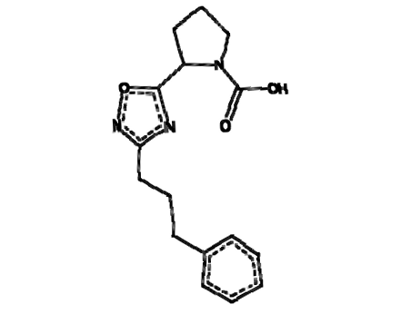 O=C(O)N1CCCC1c1nc(CCCc2ccccc2)no1